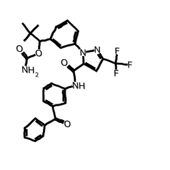 CC(C)(C)C(OC(N)=O)c1cccc(-n2nc(C(F)(F)F)cc2C(=O)Nc2cccc(C(=O)c3ccccc3)c2)c1